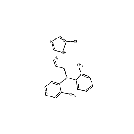 C=CCB(c1ccccc1C)c1ccccc1C.CCc1cnc[nH]1